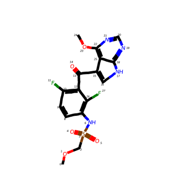 COCS(=O)(=O)Nc1ccc(F)c(C(=O)c2c[nH]c3ncnc(OC)c23)c1F